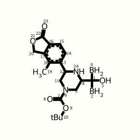 BC(B)(O)C1CN(C(=O)OC(C)(C)C)CC(c2ccc3c(c2C)COC3=O)N1